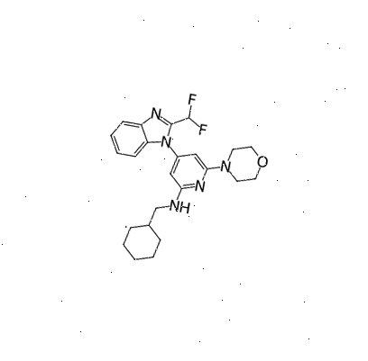 FC(F)c1nc2ccccc2n1-c1cc(NCC2[CH]CCCC2)nc(N2CCOCC2)c1